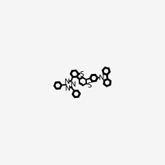 C1=CC2Sc3cc(-n4c5ccccc5c5ccccc54)ccc3C2c2sc3cccc(-c4nc(-c5ccccc5)nc(-c5ccccc5)n4)c3c21